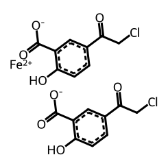 O=C(CCl)c1ccc(O)c(C(=O)[O-])c1.O=C(CCl)c1ccc(O)c(C(=O)[O-])c1.[Fe+2]